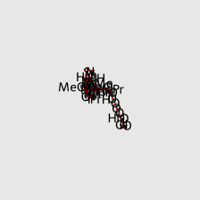 CC[C@H](C)[C@@H]([C@@H](CC(=O)N1CCC[C@H]1[C@H](OC)[C@@H](C)C(=O)N[C@@H](Cc1ccccc1)c1nccs1)OC)N(C)C(=O)CNC(=O)[C@H](C(C)C)N(C)C(=O)OC(C(=O)N1CCN(C)CC1)c1ccc(NC(=O)CNC(=O)[C@@H](NC(=O)CCOCCOCCOCCOCCNC(=O)CCN2C(=O)CCC2=O)C(C)C)cc1